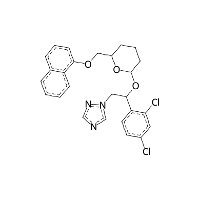 Clc1ccc(C(Cn2cncn2)OC2CCCC(COc3cccc4ccccc34)O2)c(Cl)c1